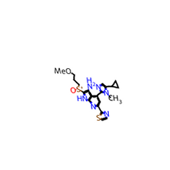 COCCC[S+]([O-])c1[nH]c2nc(-c3nccs3)cc(-c3ncc(C4CC4)n3C)c2c1N